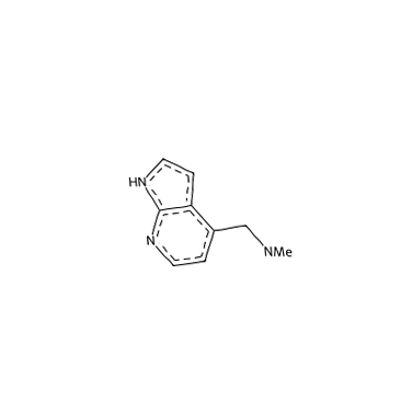 CNCc1ccnc2[nH]ccc12